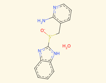 Nc1ncccc1C[S+]([O-])c1nc2ccccc2[nH]1.O